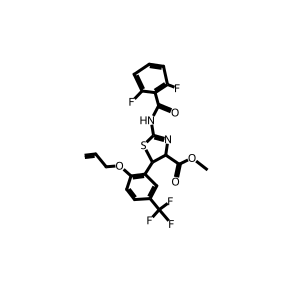 C=CCOc1ccc(C(F)(F)F)cc1C1SC(NC(=O)c2c(F)cccc2F)=NC1C(=O)OC